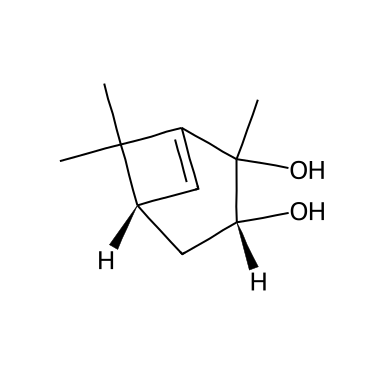 CC1(C)C2=C[C@@H]1C[C@@H](O)C2(C)O